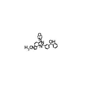 Cn1ccc2c3nc(-c4cccc(C(O)c5ccccc5)c4)nc(N4CCOCC4)c3ccc21